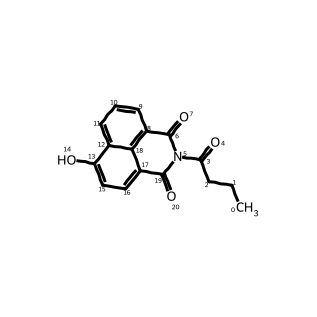 CCCC(=O)N1C(=O)c2cccc3c(O)ccc(c23)C1=O